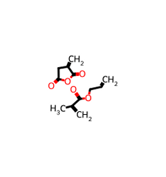 C=C1CC(=O)OC1=O.C=CCOC(=O)C(=C)C